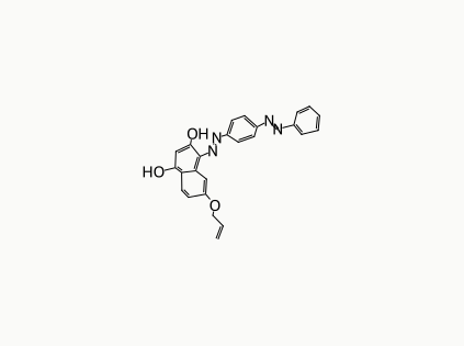 C=CCOc1ccc2c(O)cc(O)c(N=Nc3ccc(N=Nc4ccccc4)cc3)c2c1